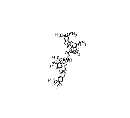 COc1cc2c(cc1OC)[C@@H](Cc1cc(OC)c(OC)c(OC)c1)[N@+](C)(CCCOC(=O)CCC(=O)OCCC[N@@+]1(C)CCc3cc(OC)c(OC)cc3[C@@H]1Cc1cc(OC)c(OC)c(OC)c1)CC2